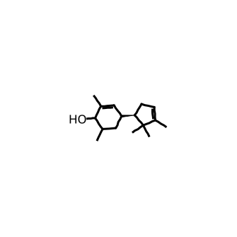 CC1=CC([C@H]2CC=C(C)C2(C)C)CC(C)C1O